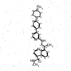 CNC(=O)c1ccnc2c([C@H](C)CNc3cc(-c4ccc(N5CCN(C)CC5)nc4)ncn3)cccc12